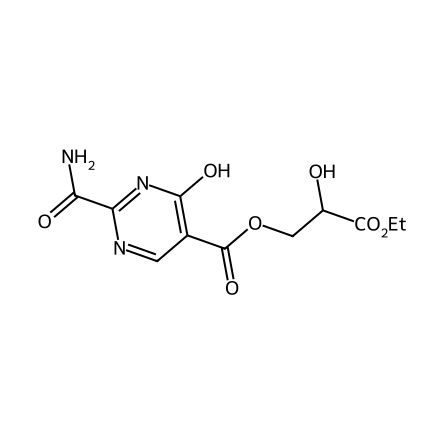 CCOC(=O)C(O)COC(=O)c1cnc(C(N)=O)nc1O